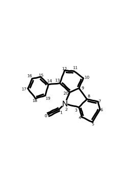 C#Cn1c2ccccc2c2cccc(-c3ccccc3)c21